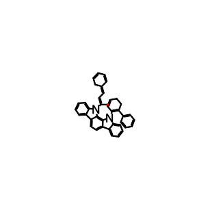 C/C(=C\C=C1\C=CC=CC1)n1c2ccccc2c2ccc3c4ccccc4n(C4=C(c5ccccc5)CCC=C4)c3c21